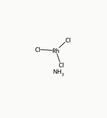 N.[Cl][Rh]([Cl])[Cl]